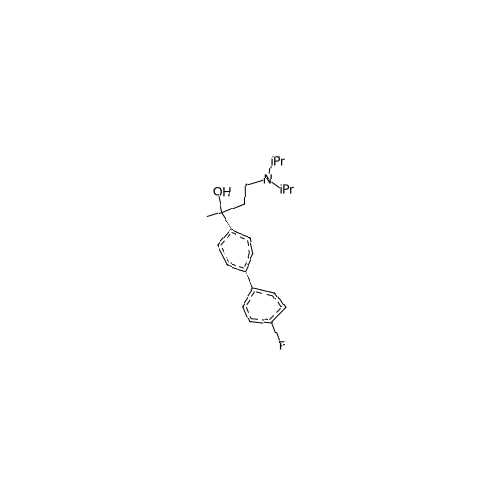 CC(C)N(CCC(C)(O)c1ccc(-c2ccc(F)cc2)cc1)C(C)C